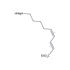 CCCCCCCCCCC/C=C\C=C\C(=O)OCC